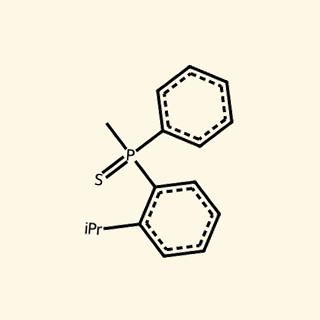 CC(C)c1ccccc1P(C)(=S)c1ccccc1